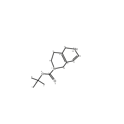 CC(C)(C)OC(=O)N1CCC2=C(C=CNC2)C1